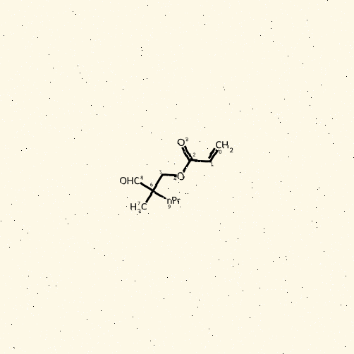 C=CC(=O)OCC(C)(C=O)CCC